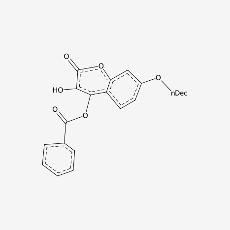 CCCCCCCCCCOc1ccc2c(OC(=O)c3ccccc3)c(O)c(=O)oc2c1